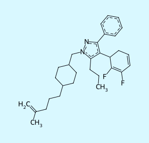 C=C(C)CCCC1CCC(Cn2nc(-c3ccccc3)c(C3CC=CC(F)=C3F)c2CCC)CC1